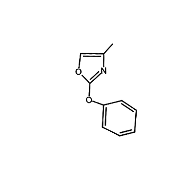 Cc1coc(Oc2ccccc2)n1